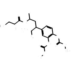 CC(C)CCC(=O)OC(C)CC(c1ccc(OC(=O)OC(C)(C)C)c(OC(=O)OC(C)(C)C)c1)[C@H](N)C(=O)O